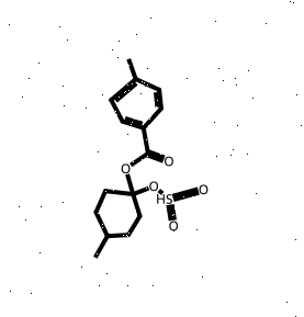 Cc1ccc(C(=O)OC2(O[SH](=O)=O)CCC(C)CC2)cc1